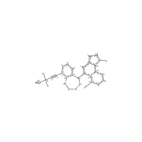 Cc1nnc2nc(N3CCCOc4c(C#CC(C)(C)O)cccc43)c3c(F)cccc3n12